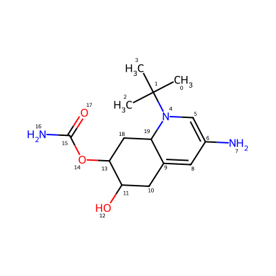 CC(C)(C)N1C=C(N)C=C2CC(O)C(OC(N)=O)CC21